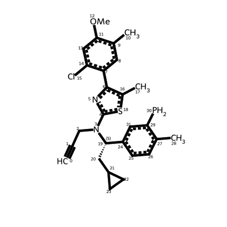 C#CCN(c1nc(-c2cc(C)c(OC)cc2Cl)c(C)s1)[C@@H](CC1CC1)c1ccc(C)c(P)c1